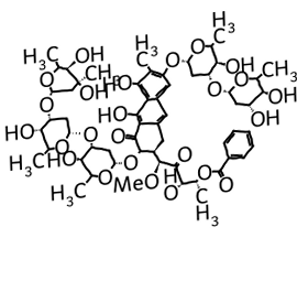 CO[C@H](C(=O)[C@@H](O)[C@@H](C)OC(=O)c1ccccc1)[C@@H]1Cc2cc3cc(O[C@H]4C[C@@H](O[C@H]5C[C@@H](O)[C@H](O)C(C)O5)[C@H](O)C(C)O4)c(C)c(O)c3c(O)c2C(=O)[C@H]1O[C@H]1C[C@@H](O[C@H]2C[C@@H](O[C@H]3C[C@](C)(O)[C@H](O)C(C)O3)[C@@H](O)C(C)O2)[C@H](O)C(C)O1